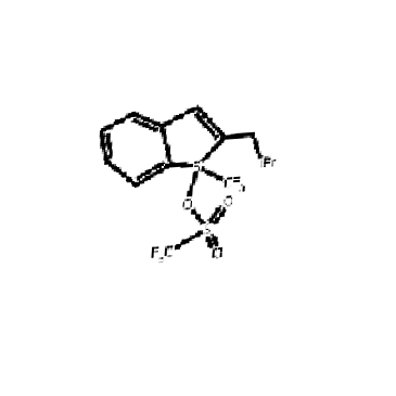 CC(C)CC1=Cc2ccccc2S1(OS(=O)(=O)C(F)(F)F)C(F)(F)F